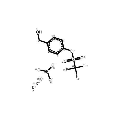 O=S(=O)(Oc1ccc(CO)cc1)C(F)(F)F.[K+].[K+].[K+].[O-]B([O-])[O-]